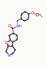 COc1ccc(CNC(=O)c2ccc3c(c2)oc2cnccc23)cc1